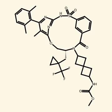 COC(=O)NC1CC2(C1)CC(N1C(=O)c3cccc(c3)S(=O)(=O)Nc3nc(c(C)c(-c4c(C)cccc4C)n3)OC[C@H]1CC1(C(F)(F)F)CC1)C2